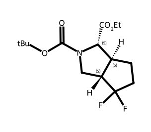 CCOC(=O)[C@@H]1[C@H]2CCC(F)(F)[C@@H]2CN1C(=O)OC(C)(C)C